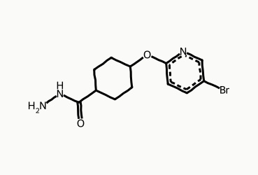 NNC(=O)C1CCC(Oc2ccc(Br)cn2)CC1